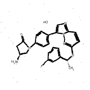 C[C@@H](Oc1ccc2ncc(-c3ccc(N4C[C@@H](N)CC4=O)cc3)n2n1)c1cccc(F)c1.Cl